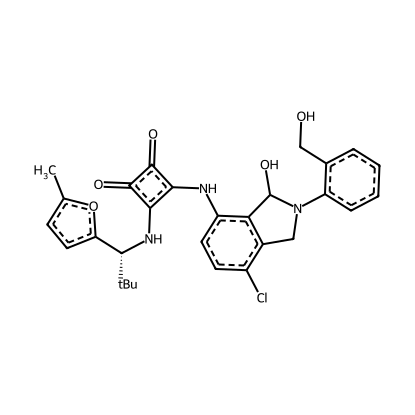 Cc1ccc([C@H](Nc2c(Nc3ccc(Cl)c4c3C(O)N(c3ccccc3CO)C4)c(=O)c2=O)C(C)(C)C)o1